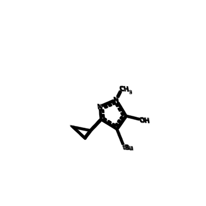 Cn1nc(C2CC2)c(C(C)(C)C)c1O